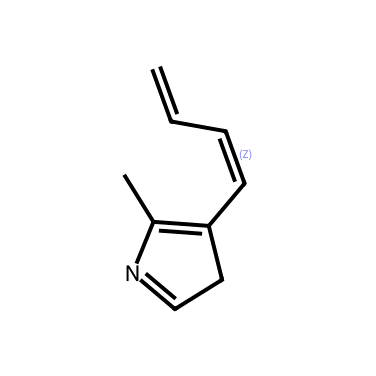 C=C/C=C\C1=C(C)N=CC1